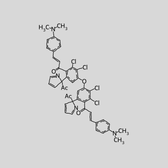 CC(=O)C1(c2cc(Oc3cc(C4(C(C)=O)C=CC=N4)c(C(=O)C=Cc4ccc(N(C)C)cc4)c(Cl)c3Cl)c(Cl)c(Cl)c2C(=O)C=Cc2ccc(N(C)C)cc2)C=CC=N1